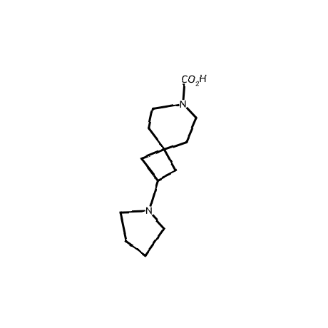 O=C(O)N1CCC2(CC1)CC(N1CCCC1)C2